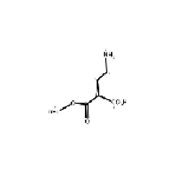 CCCCOC(=O)C(CCN)C(=O)O